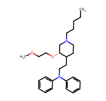 CCCCCN1CCC(CCN(c2ccccc2)c2ccccc2)[C@H](OCCOC)C1